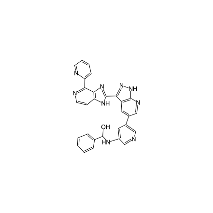 OC(Nc1cncc(-c2cnc3[nH]nc(-c4nc5c(-c6ccccn6)nccc5[nH]4)c3c2)c1)c1ccccc1